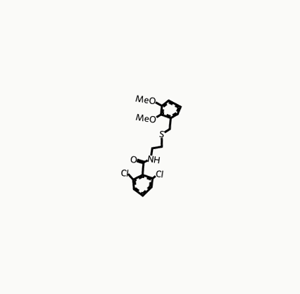 COc1cccc(CSCCNC(=O)c2c(Cl)cccc2Cl)c1OC